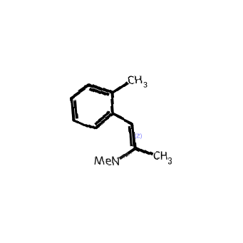 CN/C(C)=C\c1ccccc1C